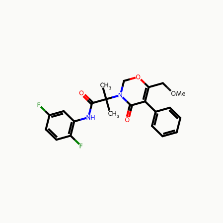 COCC1=C(c2ccccc2)C(=O)N(C(C)(C)C(=O)Nc2cc(F)ccc2F)CO1